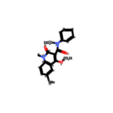 CCOC(=O)Oc1c(C(=O)N(C(=O)OCC)c2ccccc2)c(=O)n(C)c2ccc(SC)cc12